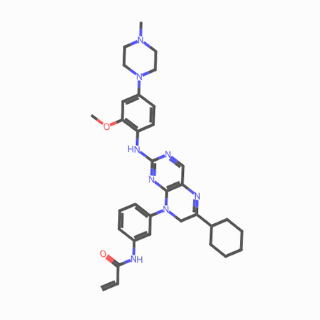 C=CC(=O)Nc1cccc(N2CC(C3CCCCC3)=Nc3cnc(Nc4ccc(N5CCN(C)CC5)cc4OC)nc32)c1